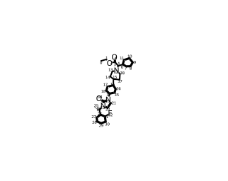 CCOC(=O)C(c1ccccc1)N1CCC(c2ccc(-n3ccn([C@@H](C)c4ccccc4F)c3=O)cc2)CC1